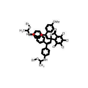 CCOC(C)Nc1ccc(/C(=C/C2(/C=C(/c3ccc(NC(C)OCC)cc3)c3ccc(OC)cc3)OC(=O)c3c(Cl)c(Cl)c(Cl)c(Cl)c32)c2ccc(OC)cc2)cc1